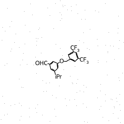 CC(C)c1cc(C=O)cc(OCc2cc(C(F)(F)F)cc(C(F)(F)F)c2)c1